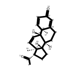 CC(=O)[C@H]1CC[C@H]2[C@@H]3CCC4=CC(=O)C=C[C@]4(C)[C@H]3C=C[C@]12C